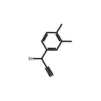 [C]#CC(CC)c1ccc(C)c(C)c1